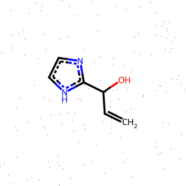 C=C[C](O)c1ncc[nH]1